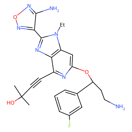 CCn1c(-c2nonc2N)nc2c(C#CC(C)(C)O)nc(OC(CCN)c3cccc(F)c3)cc21